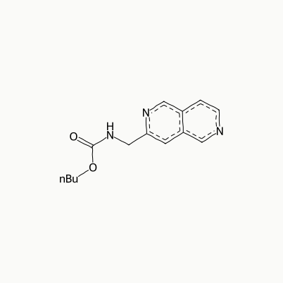 CCCCOC(=O)NCc1cc2cnccc2cn1